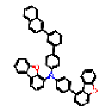 c1cc(-c2ccc(N(c3ccc(-c4cccc5oc6ccccc6c45)cc3)c3cccc4c3oc3ccccc34)cc2)cc(-c2ccc3ccccc3c2)c1